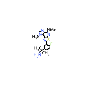 CNc1nc2sc(-c3cc(C(C)(C)CN)ccc3F)nc2c2c1ncn2C